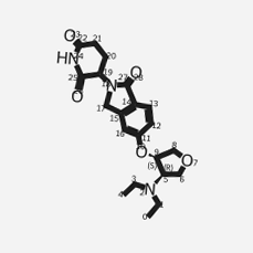 CCN(CC)[C@@H]1COC[C@H]1Oc1ccc2c(c1)CN(C1CCC(=O)NC1=O)C2=O